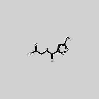 Cc1cc(C(=O)NCC(=O)O)no1